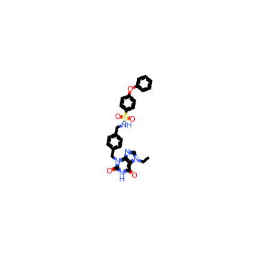 CCn1cnc2c1c(=O)[nH]c(=O)n2Cc1ccc(CNS(=O)(=O)c2ccc(Oc3ccccc3)cc2)cc1